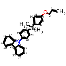 C=CCOc1ccc([Si](C)(C)c2ccc(-n3c4ccccc4c4ccccc43)cc2)cc1